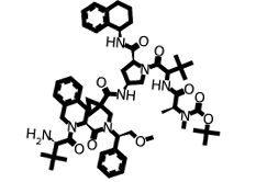 COC[C@@H](c1ccccc1)N(CC1(C(=O)N[C@H]2C[C@@H](C(=O)N[C@@H]3CCCc4ccccc43)N(C(=O)C(NC(=O)[C@H](C)N(C)C(=O)OC(C)(C)C)C(C)(C)C)C2)CC1)C(=O)[C@@H]1Cc2ccccc2CN1C(=O)[C@@H](N)C(C)(C)C